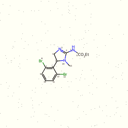 CCOC(=O)NC1=NCC(c2c(Br)cccc2Br)N1C